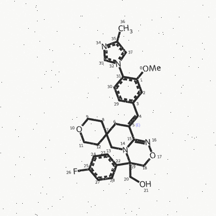 COc1cc(/C=C2\CC3(CCOCC3)CN3C2=NOCC3(CO)c2ccc(F)cc2)ccc1-n1cnc(C)c1